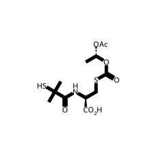 CC(=O)O[C@@H](C)OC(=O)SC[C@H](NC(=O)C(C)(C)S)C(=O)O